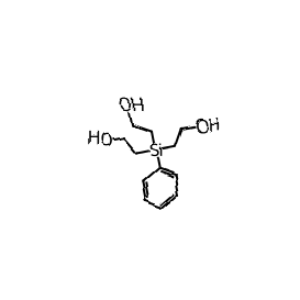 OCC[Si](CCO)(CCO)c1ccccc1